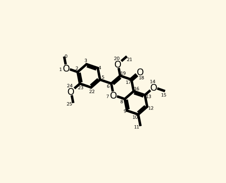 COc1ccc(-c2oc3cc(C)cc(OC)c3c(=O)c2OC)cc1OC